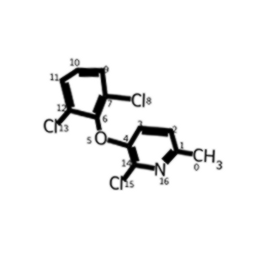 Cc1ccc(Oc2c(Cl)cccc2Cl)c(Cl)n1